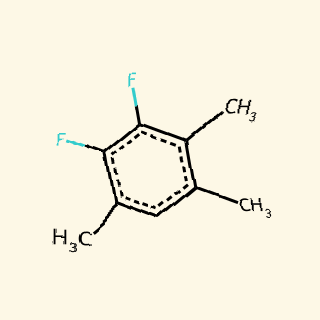 Cc1cc(C)c(F)c(F)c1C